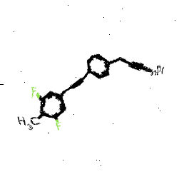 CCCC#CCc1ccc(C#Cc2cc(F)c(C)c(F)c2)cc1